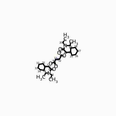 CCN(CC)C(=O)[C@@H](OC(=O)/C=C/C(=O)O[C@H](C(=O)N(CC)CC)C1CCCCC1)C1CCCCC1